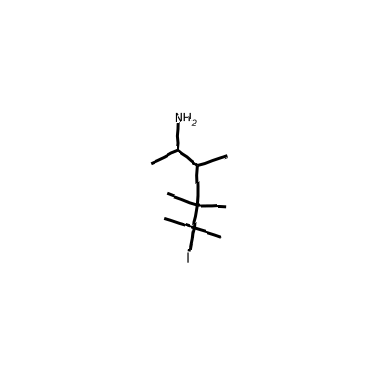 CC(N)C(C)C(C)(C)C(C)(C)I